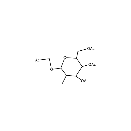 CC(=O)COC1OC(COC(C)=O)C(OC(C)=O)C(OC(C)=O)C1C